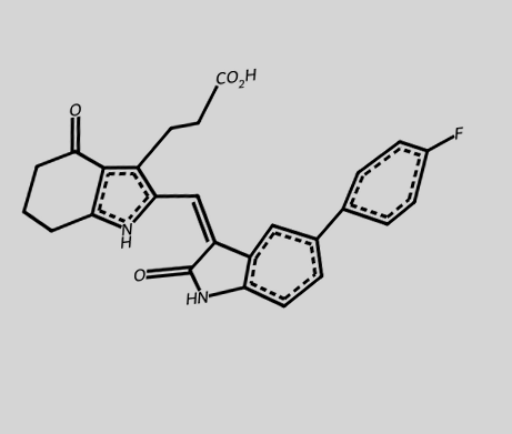 O=C(O)CCc1c(C=C2C(=O)Nc3ccc(-c4ccc(F)cc4)cc32)[nH]c2c1C(=O)CCC2